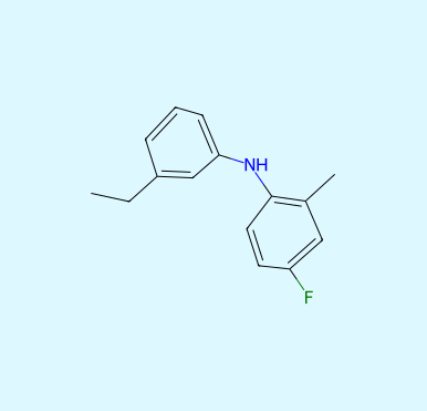 CCc1cccc(Nc2ccc(F)cc2C)c1